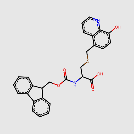 O=C(NC(CSCc1ccc(O)c2ncccc12)C(=O)O)OCC1c2ccccc2-c2ccccc21